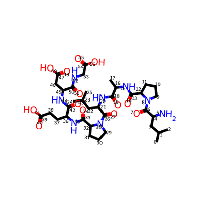 CC(C)CC(N)C(=O)N1CCCC1C(=O)NC(C)C(=O)NC(CC(C)C)C(=O)N1CCCC1C(=O)NC(CCC(=O)O)C(=O)NC(CC(=O)O)C(=O)NCC(=O)O